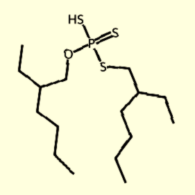 CCCCC(CC)COP(=S)(S)SCC(CC)CCCC